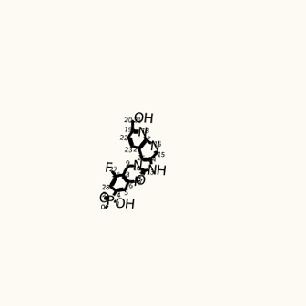 CP(=O)(O)c1cc(F)c(Cn2c(=O)[nH]c3cnc4nc(CO)ccc4c32)c(F)c1